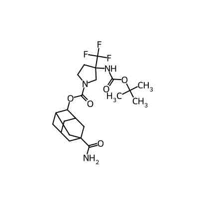 CC(C)(C)OC(=O)NC1(C(F)(F)F)CCN(C(=O)OC2C3CC4CC2CC(C(N)=O)(C4)C3)C1